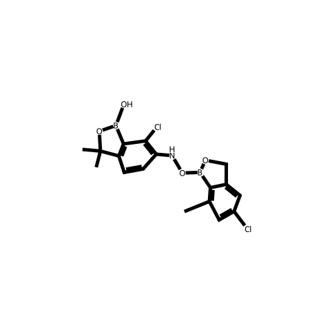 Cc1cc(Cl)cc2c1B(ONc1ccc3c(c1Cl)B(O)OC3(C)C)OC2